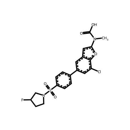 CN(C(=O)O)c1cc2cc(-c3ccc(S(=O)(=O)N4CCC(F)C4)cc3)cc(Cl)c2o1